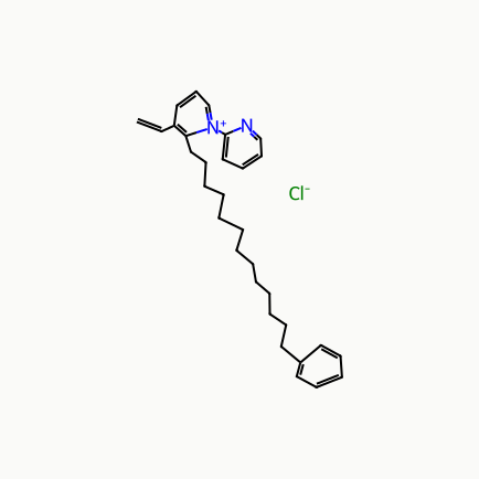 C=Cc1ccc[n+](-c2ccccn2)c1CCCCCCCCCCCCCc1ccccc1.[Cl-]